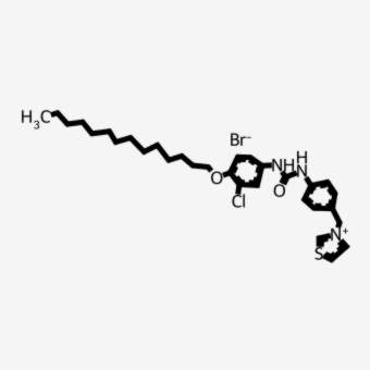 CCCCCCCCCCCCCCOc1ccc(NC(=O)Nc2ccc(C[n+]3ccsc3)cc2)cc1Cl.[Br-]